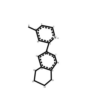 Cc1ccnc(-c2ccc3c(c2)[C]CCC3)c1